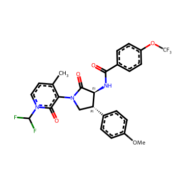 COc1ccc([C@@H]2CN(c3c(C)ccn(C(F)F)c3=O)C(=O)[C@H]2NC(=O)c2ccc(OC(F)(F)F)cc2)cc1